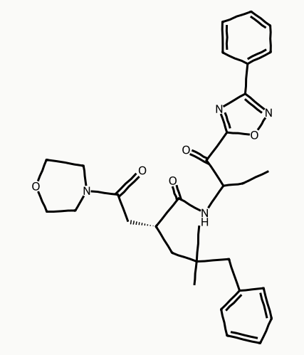 CCC(NC(=O)[C@@H](CC(=O)N1CCOCC1)CC(C)(C)Cc1ccccc1)C(=O)c1nc(-c2ccccc2)no1